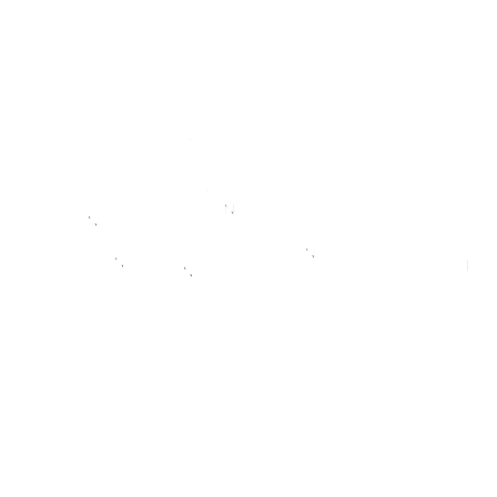 CC(C)Cn1ncc2c(=O)n3c(nc21)CN(c1cccc(Cl)c1)CC3